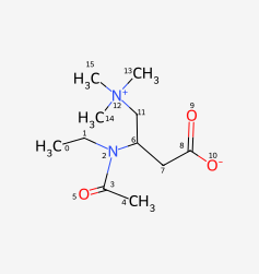 CCN(C(C)=O)C(CC(=O)[O-])C[N+](C)(C)C